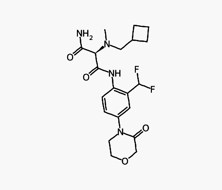 CN(CC1CCC1)[C@H](C(N)=O)C(=O)Nc1ccc(N2CCOCC2=O)cc1C(F)F